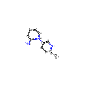 N=c1ccccn1-c1ccc(C(F)(F)F)nc1